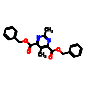 Cc1nc(C(=O)OCc2ccccc2)c(C)c(C(=O)OCc2ccccc2)n1